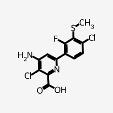 CSc1c(Cl)ccc(-c2cc(N)c(Cl)c(C(=O)O)n2)c1F